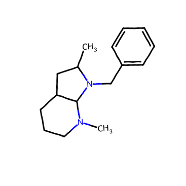 CC1CC2CCCN(C)C2N1Cc1ccccc1